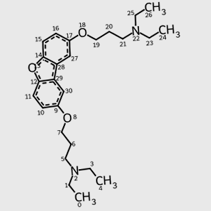 CCN(CC)CCCOc1ccc2oc3ccc(OCCCN(CC)CC)cc3c2c1